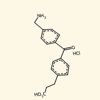 Cl.NCc1ccc(C(=O)c2ccc(CCC(=O)O)cc2)cc1